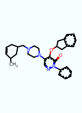 CC1C=CCC(CN2CCN(c3cnn(-c4ccccc4)c(=O)c3OC3Cc4ccccc4C3)CC2)C1